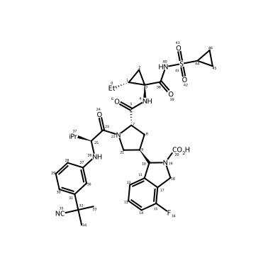 CC[C@@H]1C[C@]1(NC(=O)[C@@H]1C[C@@H](C2c3cccc(F)c3CN2C(=O)O)CN1C(=O)[C@@H](Nc1cccc(C(C)(C)C#N)c1)C(C)C)C(=O)NS(=O)(=O)C1CC1